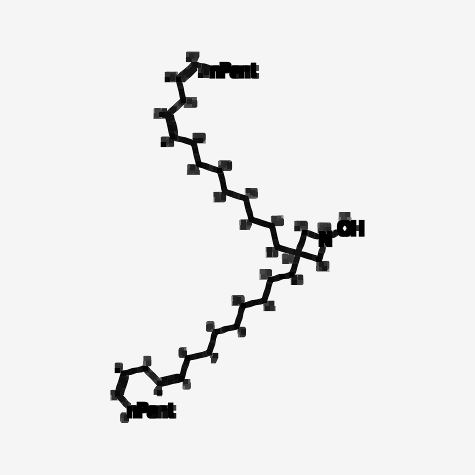 CCCCC/C=C\C/C=C\CCCCCCCCC1(CCCCCCCC/C=C\C/C=C\CCCCC)CN(O)C1